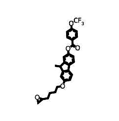 CC1c2cc(OCCCCC3CO3)ccc2-c2ccc(OC(=O)c3ccc(OC(F)(F)F)cc3)cc21